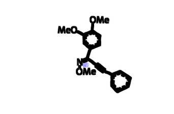 CO/N=C(\C#Cc1ccccc1)c1ccc(OC)c(OC)c1